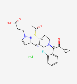 CC(=O)S[C@@H]1CCN([C@@H](C(=O)C2CC2)c2ccccc2F)C/C1=C/c1ccn(CCC(=O)O)n1.Cl